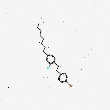 CCCCCCCCc1ccc(CCc2ccc(Br)cc2)c(F)c1